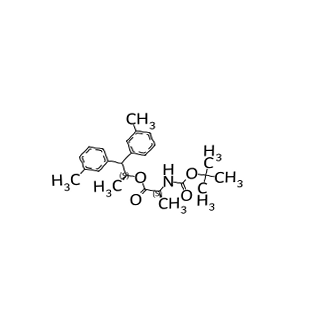 Cc1cccc(C(c2cccc(C)c2)[C@H](C)OC(=O)[C@H](C)NC(=O)OC(C)(C)C)c1